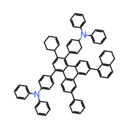 C1=CC(c2cc(-c3ccc(N(c4ccccc4)c4ccccc4)cc3)c3c4ccc(-c5ccccc5)cc4c4cc(-c5cccc6c5C=CCC6)ccc4c3c2C2=CCC(N(c3ccccc3)c3ccccc3)C=C2)CCC1